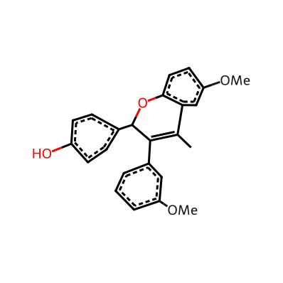 COc1cccc(C2=C(C)c3cc(OC)ccc3OC2c2ccc(O)cc2)c1